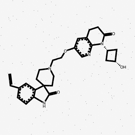 C=Cc1ccc2c(c1)C1(CCN(CCOc3cnc4c(c3)CCC(=O)N4[C@H]3C[C@@H](O)C3)CC1)C(=O)N2